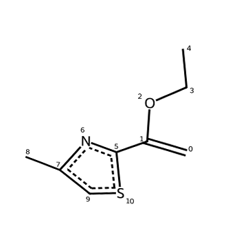 C=C(OCC)c1nc(C)cs1